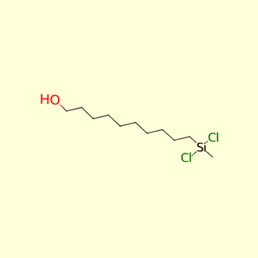 C[Si](Cl)(Cl)CCCCCCCCCCO